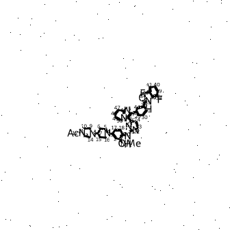 COc1cc(N2CCC(N3CCN(C(C)=O)CC3)CC2)ccc1Nc1nccc(-c2c(-c3cccc(C(=O)Nc4c(F)cccc4F)c3)nc3ccccn23)n1